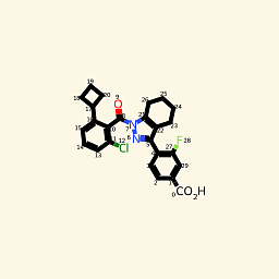 O=C(O)c1ccc(-c2nn(C(=O)c3c(Cl)cccc3C3CCC3)c3c2CCCC3)c(F)c1